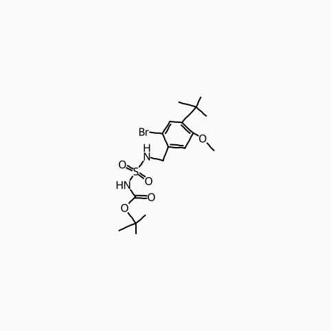 COc1cc(CNS(=O)(=O)NC(=O)OC(C)(C)C)c(Br)cc1C(C)(C)C